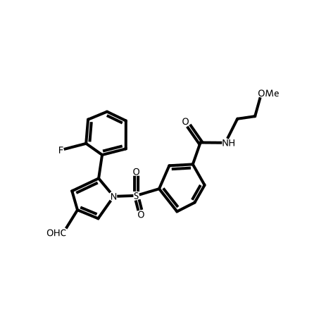 COCCNC(=O)c1cccc(S(=O)(=O)n2cc(C=O)cc2-c2ccccc2F)c1